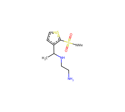 CNS(=O)(=O)c1sccc1C(C)NCCN